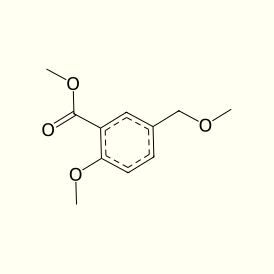 COCc1ccc(OC)c(C(=O)OC)c1